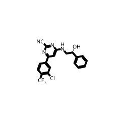 N#Cc1nc(NC[C@H](O)c2ccccc2)cc(-c2ccc(C(F)(F)F)c(Cl)c2)n1